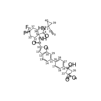 C#CC1(NC(=O)C2(NC(=O)c3cc4ccc(-c5ccc(C6(O)CS(=O)(=O)C6)cc5)cc4o3)CCC(F)(F)CC2)CC1